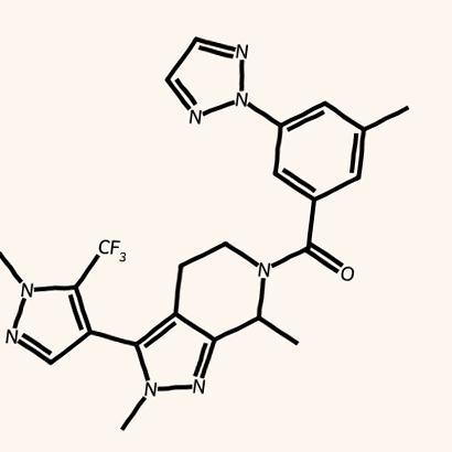 Cc1cc(C(=O)N2CCc3c(nn(C)c3-c3cnn(C)c3C(F)(F)F)C2C)cc(-n2nccn2)c1